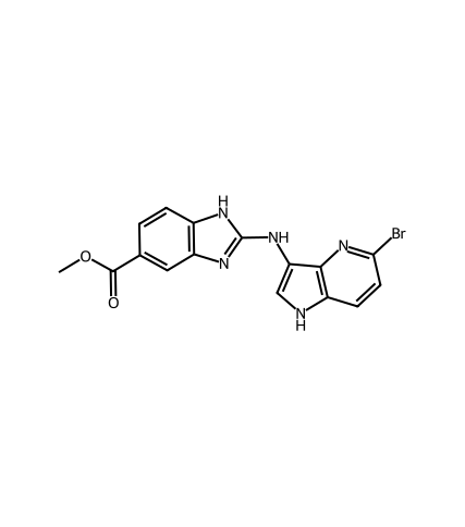 COC(=O)c1ccc2[nH]c(Nc3c[nH]c4ccc(Br)nc34)nc2c1